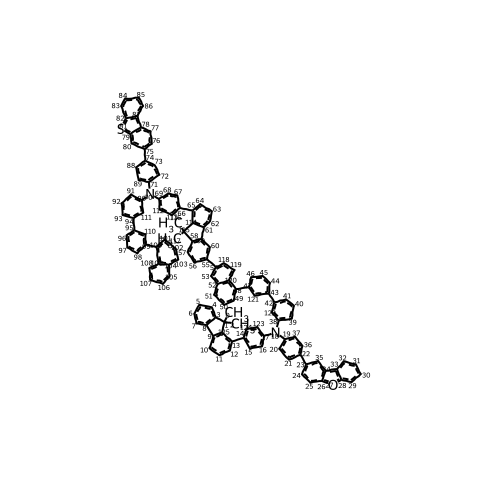 CC1(C)c2ccccc2-c2cccc(-c3ccc(N(c4ccc(-c5ccc6oc7ccccc7c6c5)cc4)c4cccc(-c5cccc(-c6cccc7cc(-c8ccc9c(c8)-c8cccc(-c%10ccc(N(c%11ccc(-c%12ccc%13c(c%12)sc%12ccccc%12%13)cc%11)c%11cccc(-c%12cccc(-c%13cccc%14ccccc%13%14)c%12)c%11)cc%10)c8C9(C)C)ccc67)c5)c4)cc3)c21